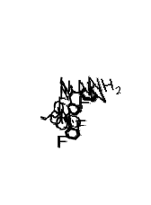 CCCOC(=O)N(c1ccc(F)c(-c2nn(CC)cc2-c2ccnc(N)n2)c1F)S(=O)(=O)c1cc(F)ccc1F